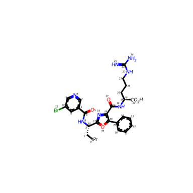 CC(C)C[C@H](NC(=O)c1cncc(Br)c1)c1nc(C(=O)N[C@@H](CCCNC(=N)N)C(=O)O)c(-c2ccccc2)o1